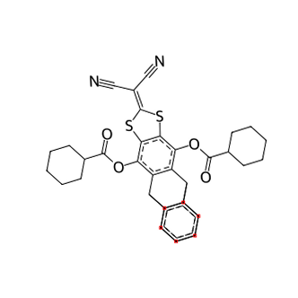 N#CC(C#N)=C1Sc2c(OC(=O)C3CCCCC3)c3c(c(OC(=O)C4CCCCC4)c2S1)C1c2ccccc2C3c2ccccc21